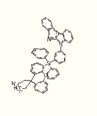 CCC1(CC)c2ccccc2Oc2c1cccc2[Si](c1ccccc1)(c1ccccc1)c1cccc(-n2c3ccccc3n3c4ccccc4nc23)c1